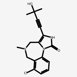 CN1Cc2c(Cl)cccc2-n2c(c(C#CC(C)(C)O)[nH]c2=O)C1